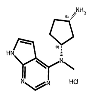 CN(c1ncnc2[nH]ccc12)[C@@H]1CC[C@H](N)C1.Cl